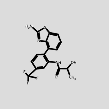 CC(O)C(=O)Nc1cc(C(F)(F)F)ccc1-c1cccc2sc(N)nc12